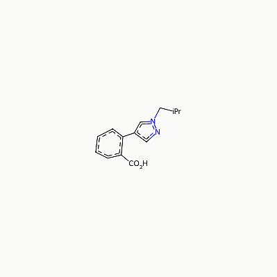 CC(C)Cn1cc(-c2ccccc2C(=O)O)cn1